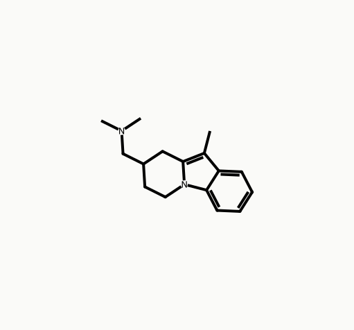 Cc1c2n(c3ccccc13)CCC(CN(C)C)C2